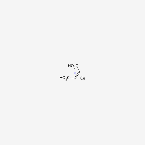 O=C(O)/C=C\C(=O)O.[Ce]